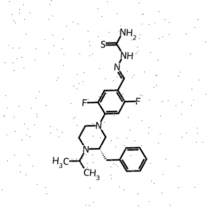 CC(C)N1CCN(c2cc(F)c(C=NNC(N)=S)cc2F)C[C@@H]1Cc1ccccc1